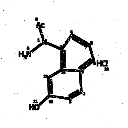 CC(=O)N(N)c1cccc2ccc(O)cc12.Cl